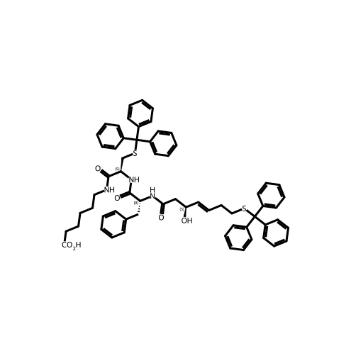 O=C(O)CCCCCNC(=O)[C@@H](CSC(c1ccccc1)(c1ccccc1)c1ccccc1)NC(=O)[C@@H](Cc1ccccc1)NC(=O)C[C@H](O)C=CCCSC(c1ccccc1)(c1ccccc1)c1ccccc1